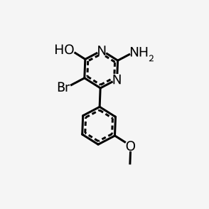 COc1cccc(-c2nc(N)nc(O)c2Br)c1